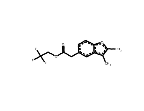 Cc1oc2ccc(CC(=O)OCC(F)(F)F)cc2c1C